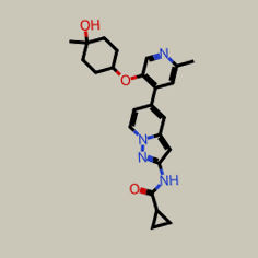 Cc1cc(-c2ccn3nc(NC(=O)C4CC4)cc3c2)c(OC2CCC(C)(O)CC2)cn1